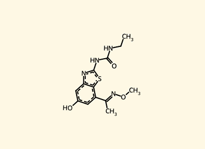 CCNC(=O)Nc1nc2cc(O)cc(C(C)=NOC)c2s1